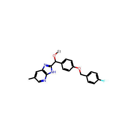 CCOC(c1ccc(OCc2ccc(F)cc2)cc1)c1nc2cc(C)cnc2[nH]1